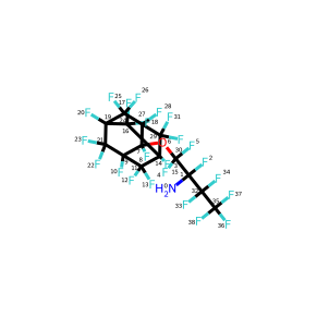 NC(F)(C(F)(F)OC1(F)C2(F)C(F)(F)C3(F)C(F)(F)C(F)(C2(F)F)C(F)(F)C1(F)C3(F)F)C(F)(F)C(F)(F)F